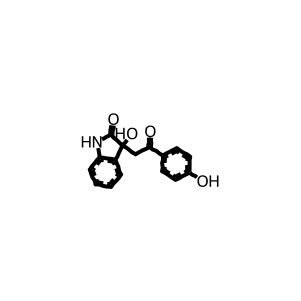 O=C(CC1(O)C(=O)Nc2ccccc21)c1ccc(O)cc1